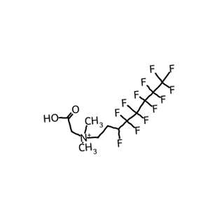 C[N+](C)(CCC(F)C(F)(F)C(F)(F)C(F)(F)C(F)(F)C(F)(F)F)CC(=O)O